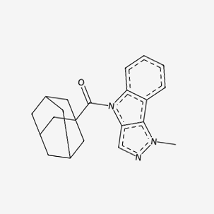 Cn1ncc2c1c1ccccc1n2C(=O)C12CC3CC(CC(C3)C1)C2